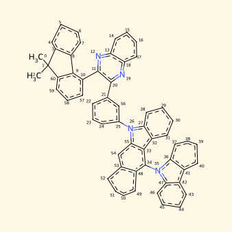 CC1(C)c2ccccc2-c2c(-c3nc4ccccc4nc3-c3cccc(-n4c5ccccc5c5c(-n6c7ccccc7c7ccccc76)c6ccccc6cc54)c3)cccc21